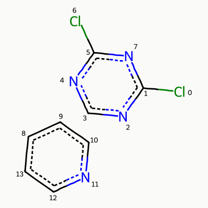 Clc1ncnc(Cl)n1.c1ccncc1